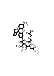 CC(C)C[C@H](NC(=O)COCC(=O)O)C(=O)N[C@H](C(=O)Nc1ccc2c(c1)Oc1cc(N)ccc1C21OCc2ccccc21)[C@@H](C)O